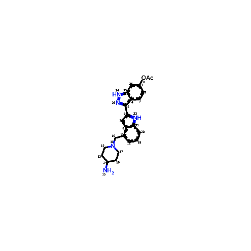 CC(=O)Oc1ccc2c(-c3cc4c(CN5CCC(N)CC5)cccc4[nH]3)n[nH]c2c1